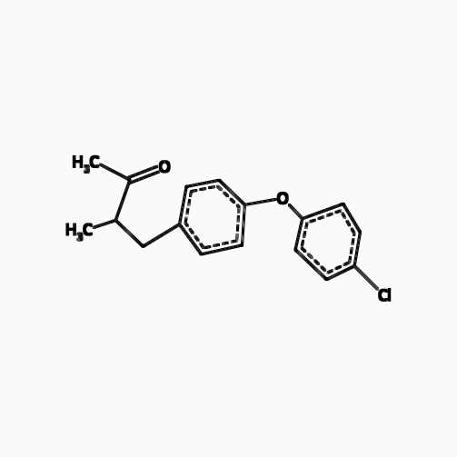 CC(=O)C(C)Cc1ccc(Oc2ccc(Cl)cc2)cc1